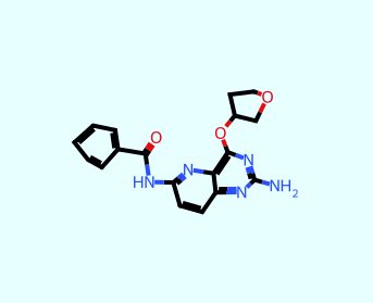 Nc1nc(OC2CCOC2)c2nc(NC(=O)c3ccccc3)ccc2n1